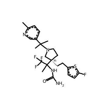 Cc1ccc(C(C)(C)N2CC[C@@](CCc3ccc(F)s3)(C(C)(NC(N)=O)C(F)(F)F)C2)cn1